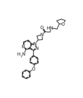 Nc1nccc2c1c(-c1ccc(Oc3ccccc3)cc1)nn2C1CN(C(=O)CNCC2CCCO2)C1